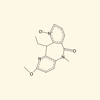 CCC1c2nc(OC)ccc2N(C)C(=O)c2ccc[n+]([O-])c21